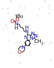 Cc1nnc2c(NCCCCNC(=O)OC(C)(C)C)nc3cc(N4CCOCC4)ccc3n12